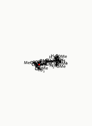 COC(C)OC(C)OC(CCCCCCCC(C)C(=O)C(C)CCCCCCCC(OC(C)OC(C)OC)(OC(C)OC(C)OC)OC(C)OC(C)OC)(OC(C)OC(C)OC)OC(C)OC(C)OC